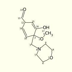 COC1(CN2CCOCC2)C=CC(C=O)C=C1O